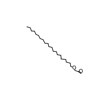 CCCCCCCCCCCCCCCCCCCCCOCC1CO1